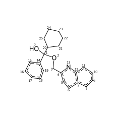 OC(OCc1ccc2ccccc2n1)(c1ccccc1)C1CCCCC1